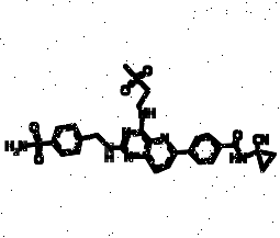 CS(=O)(=O)CCNc1nc(NCc2ccc(S(N)(=O)=O)cc2)nc2ccc(-c3ccc(C(=O)NC4(C#N)CC4)cc3)nc12